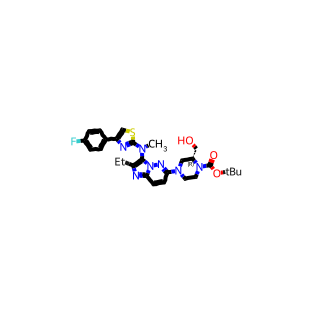 CCc1nc2ccc(N3CCN(C(=O)OC(C)(C)C)[C@@H](CO)C3)nn2c1N(C)c1nc(-c2ccc(F)cc2)cs1